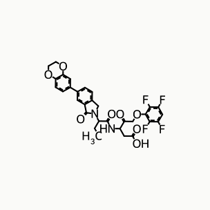 CCC(C(=O)NC(CC(=O)O)C(=O)COc1c(F)c(F)cc(F)c1F)N1Cc2ccc(-c3ccc4c(c3)OCCO4)cc2C1=O